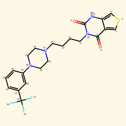 O=c1[nH]c2cscc2c(=O)n1CCCCN1CCN(c2cccc(C(F)(F)F)c2)CC1